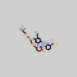 COC(=O)c1ccc(O)c(SNc2cc(C#N)c(Cl)cc2N2CCCCC2COCCOCOCC[Si](C)(C)C)c1